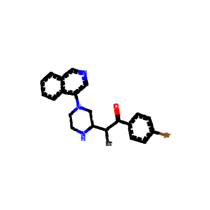 CCC(C(=O)c1ccc(Br)cc1)C1CN(c2cncc3ccccc23)CCN1